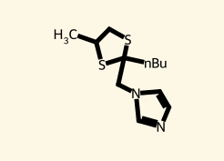 CCCCC1(Cn2ccnc2)SCC(C)S1